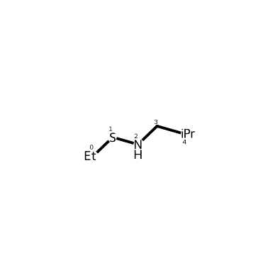 CCSNCC(C)C